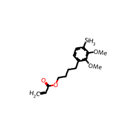 C=CC(=O)OCCCCc1ccc([SiH3])c(OC)c1OC